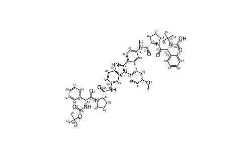 COc1ccc(-c2c(-c3ccc(NC(=O)[C@@H]4CCCN4C(=O)[C@@H](c4ccccc4)N(C(=O)O)C(C)(C)C)cc3)[nH]c3ccc(NC(=O)[C@@H]4CCCN4C(=O)[C@H](NC(=O)OC(C)(C)C)c4ccccc4)cc23)cc1